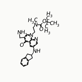 CN(CCn1cc(CN)c(=O)c2cc(NC3Cc4ccccc4C3)cnc21)C(=O)OC(C)(C)C